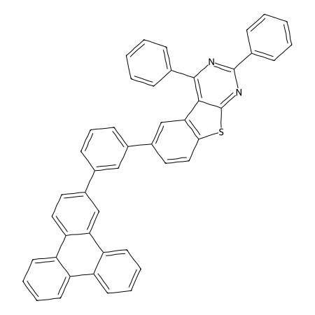 c1ccc(-c2nc(-c3ccccc3)c3c(n2)sc2ccc(-c4cccc(-c5ccc6c7ccccc7c7ccccc7c6c5)c4)cc23)cc1